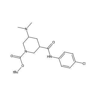 CN(C)C1CC(C(=O)Nc2ccc(Cl)cc2)CN(C(=O)OC(C)(C)C)C1